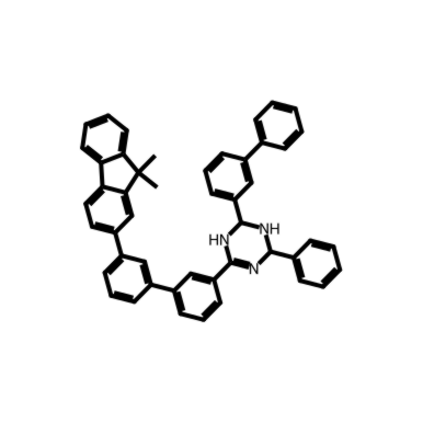 CC1(C)c2ccccc2-c2ccc(-c3cccc(-c4cccc(C5=NC(c6ccccc6)NC(c6cccc(-c7ccccc7)c6)N5)c4)c3)cc21